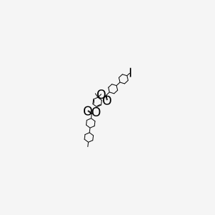 CC1CCC(C2CCC(C(=O)OC3=CCC(C)(OC(=O)C4CCC(C5CCC(I)CC5)CC4)C=C3)CC2)CC1